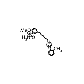 COc1ccc(CCCCCN2CCN(c3ccccc3C)CC2)cc1S(N)(=O)=O